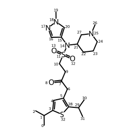 CC(C)c1cc(CC(=O)CCS(=O)(=O)N(c2cnn(C)c2)C2CCCN(C)C2)c(C(C)C)s1